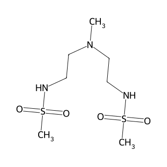 CN(CCNS(C)(=O)=O)CCNS(C)(=O)=O